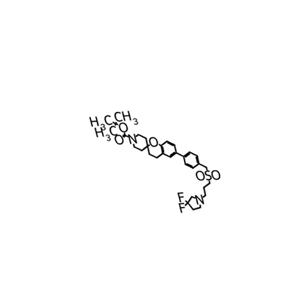 CC(C)(C)OC(=O)N1CCC2(CCc3cc(-c4ccc(CS(=O)(=O)CCCN5CCC(F)(F)C5)cc4)ccc3O2)CC1